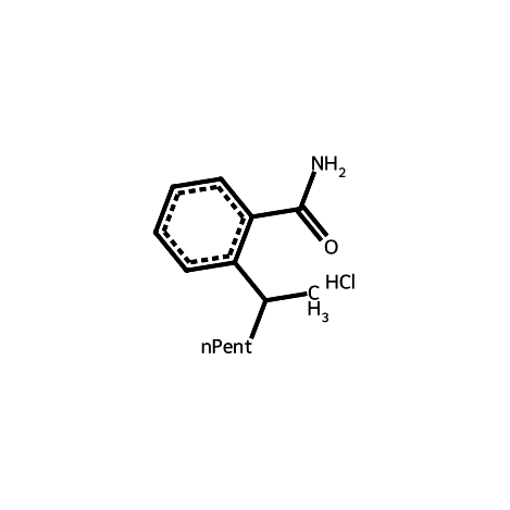 CCCCCC(C)c1ccccc1C(N)=O.Cl